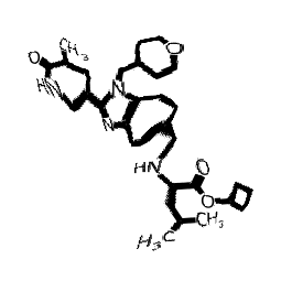 Cc1cc(-c2nc3cc(CNC(CC(C)C)C(=O)OC4CCC4)ccc3n2CC2CCOCC2)c[nH]c1=O